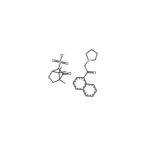 CC12CCC(C(S(=O)(=O)[O-])C1=O)C2(C)C.O=C(C[S+]1CCCC1)c1cccc2ccccc12